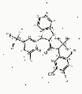 [2H]C([2H])([2H])N(C(=O)[C@@H]1Cc2cnccc2N1c1cc(C(F)(F)F)cc(C)n1)c1cc(Cl)c(F)cc1F